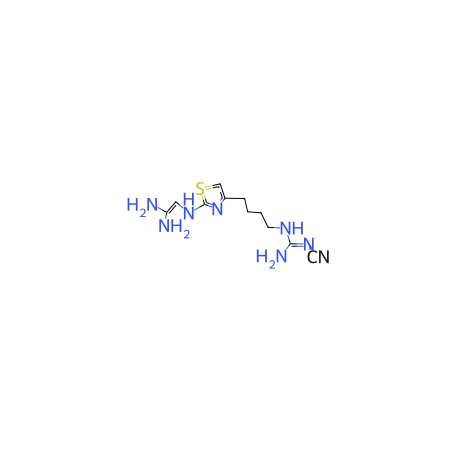 N#C/N=C(\N)NCCCCc1csc(NC=C(N)N)n1